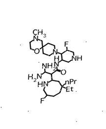 CCCC1(CC)CCC(F)CNC(C(C(=O)NC2CNCC(F)C2N2CCC3(CC2)CN(C)CCO3)C(N)N)C1